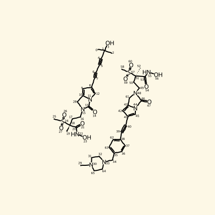 CC(C)(O)C#CC#Cc1cc2n(c1)C(=O)N(CC[C@](C)(C(=O)NO)S(C)(=O)=O)C2.CN1CCN(Cc2ccc(C#Cc3cc4n(c3)C(=O)N(CC[C@](C)(C(=O)NO)S(C)(=O)=O)C4)cc2)CC1